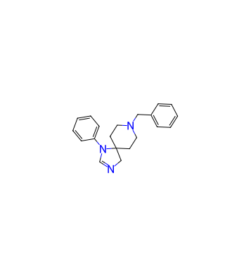 C1=NCC2(CCN(Cc3ccccc3)CC2)N1c1ccccc1